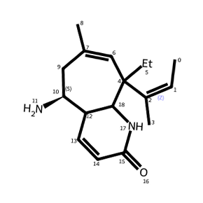 C/C=C(/C)C1(CC)C=C(C)C[C@H](N)C2C=CC(=O)NC21